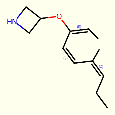 C\C=C(/C=C\C(C)=C/CC)OC1CNC1